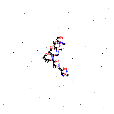 OCC[C@@H]1C[C@H]1CCc1cncc(OC[C@@H]2CCN2)c1.OCC[C@H]1C[C@@H]1CCc1cncc(OC[C@@H]2CCN2)c1.OC[C@@H]1C[C@@H]1Cc1cncc(OC[C@@H]2CCN2)c1.OC[C@@H]1C[C@H]1Cc1cncc(OC[C@@H]2CCN2)c1.OC[C@H]1C[C@@H]1Cc1cncc(OC[C@@H]2CCN2)c1.OC[C@H]1C[C@H]1Cc1cncc(OC[C@@H]2CCN2)c1